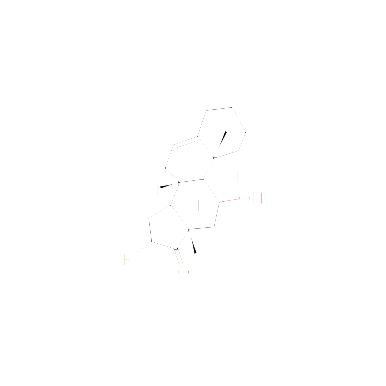 C[C@]12CCCCC1=CC[C@@H]1[C@@H]2C(O)C[C@]2(C)C(=O)C(F)C[C@@H]12